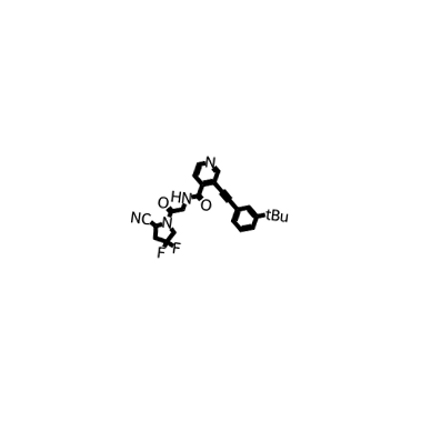 CC(C)(C)c1cccc(C#Cc2cnccc2C(=O)NCC(=O)N2CC(F)(F)CC2C#N)c1